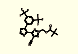 CC(C)(C)C(=O)OCn1nc(C#N)c(-c2sccc2-c2cc(C(F)(F)F)cc(C(F)(F)F)c2)n1